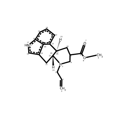 C=CCN1CC(C(=O)OC)C[C@@H]2c3cccc4[nH]cc(c34)C[C@H]21